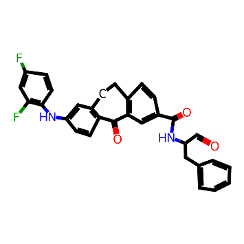 O=CC(Cc1ccccc1)NC(=O)c1ccc2c(c1)C(=O)c1ccc(Nc3ccc(F)cc3F)cc1CC2